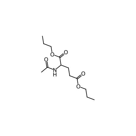 CCCOC(=O)CCC(NC(C)=O)C(=O)OCCC